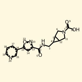 O=C(NCC1C2CN(C(=O)O)CC12)c1cc(-c2cccnc2)on1